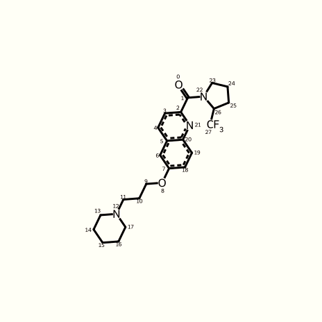 O=C(c1ccc2cc(OCCCN3CCCCC3)ccc2n1)N1CCCC1C(F)(F)F